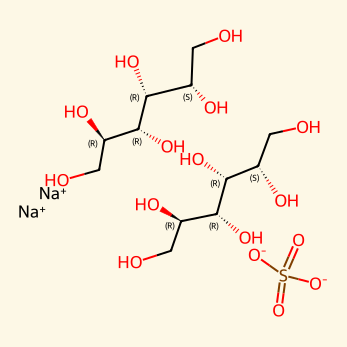 O=S(=O)([O-])[O-].OC[C@@H](O)[C@@H](O)[C@H](O)[C@@H](O)CO.OC[C@@H](O)[C@@H](O)[C@H](O)[C@@H](O)CO.[Na+].[Na+]